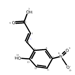 O=C(O)/C=C/c1cc([N+](=O)[O-])ccc1O